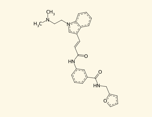 CN(C)CCn1cc(C=CC(=O)Nc2cccc(C(=O)NCc3ccco3)c2)c2ccccc21